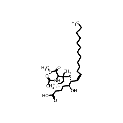 CCCCCCCCCCC/C=C\[C@@H](SC(C)(CC)C(NC(C)=O)C(=O)OC)[C@@H](O)CCCC(=O)O